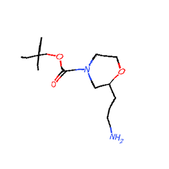 CC(C)(C)OC(=O)N1CCOC(CCN)C1